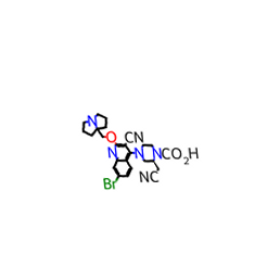 N#CC[C@H]1CN(c2c(C#N)c(OCC34CCCN3CCC4)nc3cc(Br)ccc23)CCN1C(=O)O